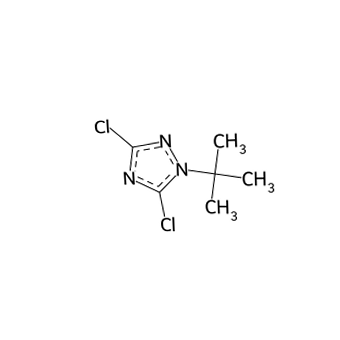 CC(C)(C)n1nc(Cl)nc1Cl